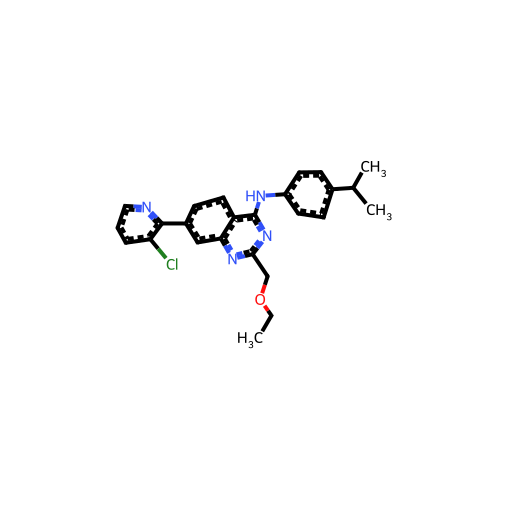 CCOCc1nc(Nc2ccc(C(C)C)cc2)c2ccc(-c3ncccc3Cl)cc2n1